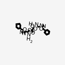 NC(OC(=O)C(=O)OC(N)c1nnc(-c2ccccc2)o1)c1nnc(-c2ccccc2)o1